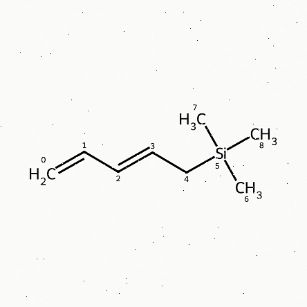 C=CC=CC[Si](C)(C)C